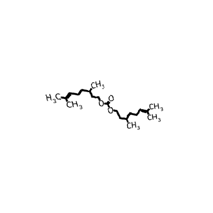 CC(C)=CCCC(C)CCOC(=O)OCCC(C)CCC=C(C)C